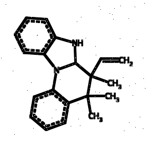 C=CC1(C)C2Nc3ccccc3N2c2ccccc2C1(C)C